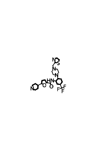 O=C(Nc1cc(C(F)(F)F)ccc1N1CCN(Cc2nccs2)CC1)c1ccc(-c2ccncc2)o1